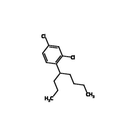 CCCCC(CCC)c1ccc(Cl)cc1Cl